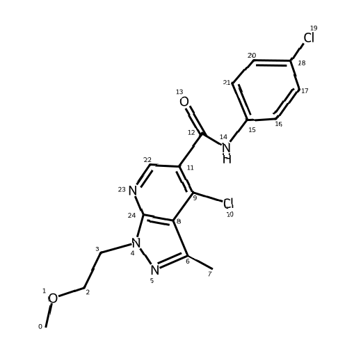 COCCn1nc(C)c2c(Cl)c(C(=O)Nc3ccc(Cl)cc3)cnc21